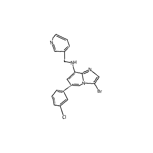 Clc1cccc(-c2cc(NCc3cccnc3)c3ncc(Br)n3c2)c1